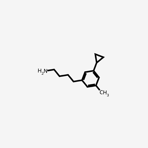 Cc1cc(CCCCN)cc(C2CC2)c1